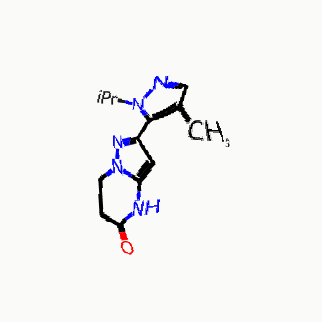 Cc1cnn(C(C)C)c1-c1cc2n(n1)CCC(=O)N2